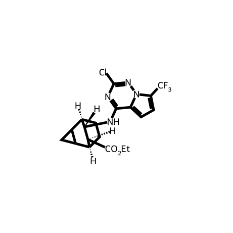 CCOC(=O)[C@@H]1[C@@H](Nc2nc(Cl)nn3c(C(F)(F)F)ccc23)[C@@H]2CC[C@H]1C1CC12